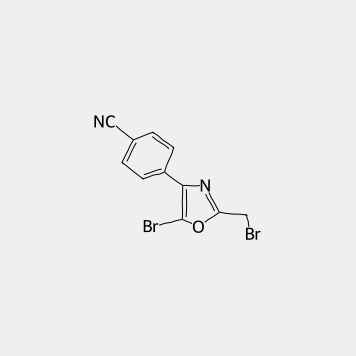 N#Cc1ccc(-c2nc(CBr)oc2Br)cc1